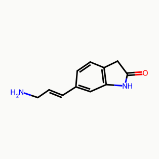 NCC=Cc1ccc2c(c1)NC(=O)C2